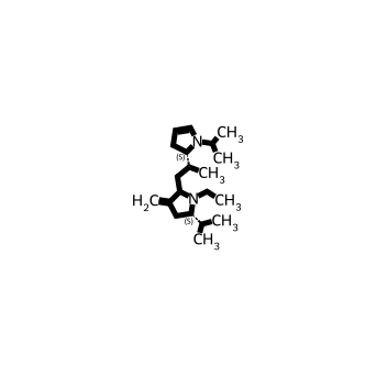 C=C1C[C@@H](C(C)C)N(CC)C1CC(C)[C@@H]1CC=CN1C(C)C